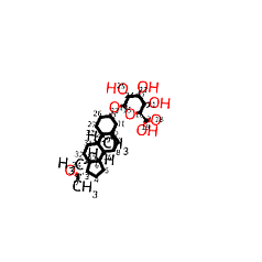 CC(=O)[C@H]1CC[C@H]2[C@@H]3CC=C4C[C@@H](OC5O[C@H](C(=O)O)[C@@H](O)[C@H](O)[C@H]5O)CC[C@]4(C)[C@H]3CC[C@]12C